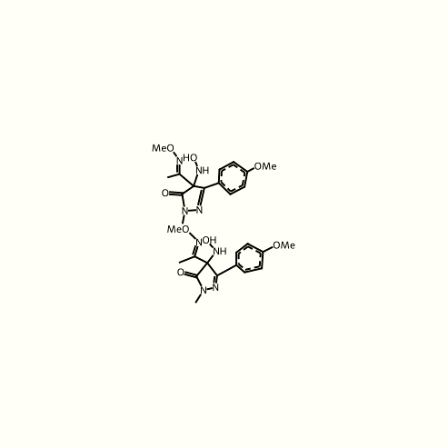 CO/N=C(\C)C1(NO)C(=O)N(C)N=C1c1ccc(OC)cc1.CO/N=C(\C)C1(NO)C(=O)N(C)N=C1c1ccc(OC)cc1